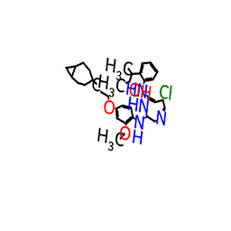 COc1cc(OCCCC2CCC3CC3CC2)ccc1N[C@@H]1C/N=C\C(Cl)/C=C(\Nc2ccccc2C(C)C(C)O)N1